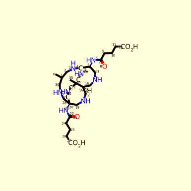 CC1CNC[C@]2(NC(=O)CCCC(=O)O)CNC[C@H]3CNC[C@](NC(=O)CCCC(=O)O)(CNC1)CNCC3(C)CNC2